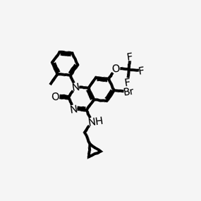 Cc1ccccc1-n1c(=O)nc(NCC2CC2)c2cc(Br)c(OC(F)(F)F)cc21